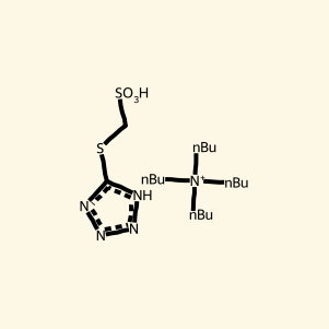 CCCC[N+](CCCC)(CCCC)CCCC.O=S(=O)(O)CSc1nnn[nH]1